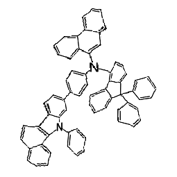 c1ccc(-n2c3cc(-c4ccc(N(c5cccc6c5-c5ccccc5C6(c5ccccc5)c5ccccc5)c5cc6ccccc6c6ccccc56)cc4)ccc3c3ccc4ccccc4c32)cc1